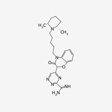 C[C@@H]1CCC[C@H](C)N1CCCCCN1C(=O)C(c2cnnc(C(=N)N)n2)Oc2ccccc21